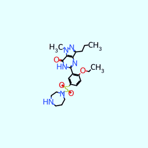 CCCc1nn(C)c2c(=O)[nH]c(-c3cc(S(=O)(=O)N4CCCNCC4)ccc3OCC)nc12